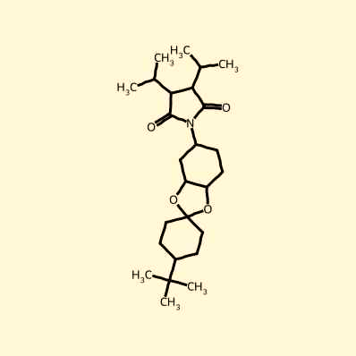 CC(C)C1C(=O)N(C2CCC3OC4(CCC(C(C)(C)C)CC4)OC3C2)C(=O)C1C(C)C